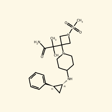 CC(C)(C(N)=O)C1(N2CCC(N[C@@H]3C[C@H]3c3ccccc3)CC2)CN(S(C)(=O)=O)C1